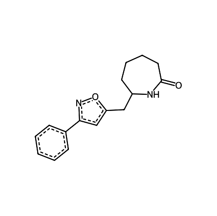 O=C1CCCCC(Cc2cc(-c3ccccc3)no2)N1